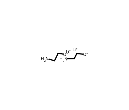 NCC[O-].NCC[O-].[Li+].[Li+]